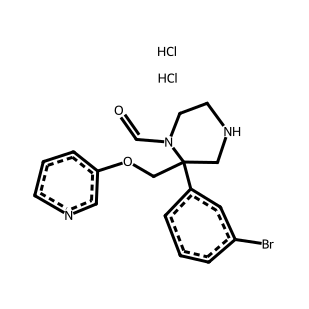 Cl.Cl.O=CN1CCNCC1(COc1cccnc1)c1cccc(Br)c1